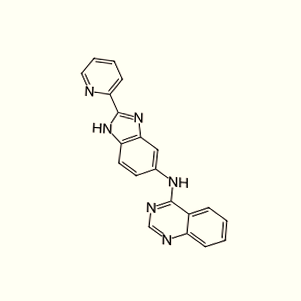 c1ccc(-c2nc3cc(Nc4ncnc5ccccc45)ccc3[nH]2)nc1